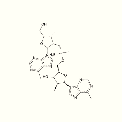 [BH3-][P+](C)(OC[C@H]1O[C@@H](n2cnc3c(C)ncnc32)[C@@H](F)C1O)OC1C(n2cnc3c(C)ncnc32)OC(CO)[C@@H]1F